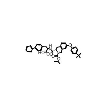 CC(C)OC(=O)N1Cc2cc(Oc3ccc(C(C)(C)C)cc3)ccc2C[C@H]1C(=O)NC(Cc1ccc(-c2ccccc2)cc1)C(=O)O